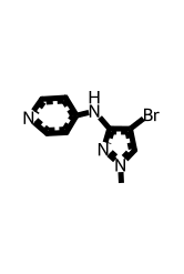 Cn1cc(Br)c(Nc2ccncc2)n1